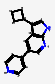 c1cc(-c2cnc3[nH]cc(C4CCC4)c3c2)ccn1